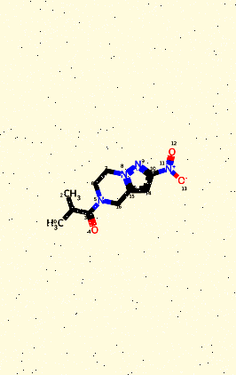 CC(C)C(=O)N1CCn2nc([N+](=O)[O-])cc2C1